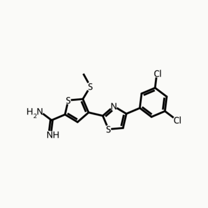 CSc1sc(C(=N)N)cc1-c1nc(-c2cc(Cl)cc(Cl)c2)cs1